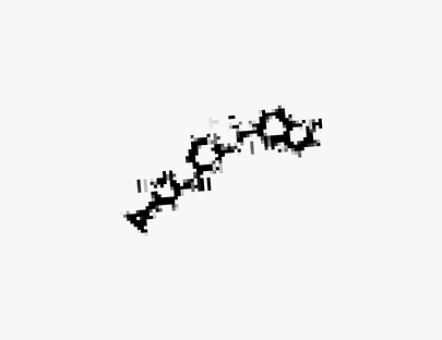 C[C@@H](Nc1nccc(Nc2cc(C3CC3)[nH]n2)n1)c1ccc2[nH]ccc2n1